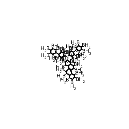 Bc1c(B)c(B)c(-c2c(B)c(B)c(N(c3c(B)c(B)c(-c4c(B)c(B)c(B)c(B)c4B)c(B)c3B)c3c(B)c(B)c4c(c3B)c(B)c(B)c3c5c(B)c(B)c(B)c(B)c5c(B)c(B)c43)c(B)c2B)c(B)c1B